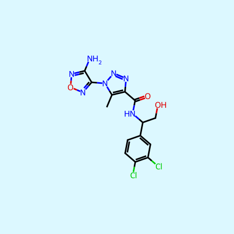 Cc1c(C(=O)NC(CO)c2ccc(Cl)c(Cl)c2)nnn1-c1nonc1N